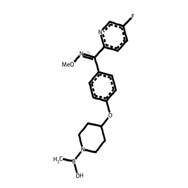 CO/N=C(\c1ccc(OC2CCN(B(C)O)CC2)cc1)c1ccc(F)cn1